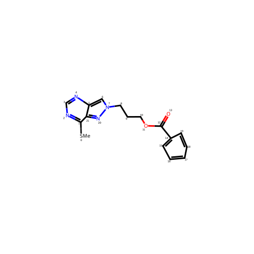 CSc1ncnc2cn(CCCOC(=O)c3ccccc3)nc12